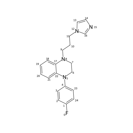 Fc1ccc(N2CCN(CCCn3ccnc3)c3ccccc32)cc1